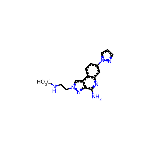 Nc1nc2cc(-n3cccn3)ccc2c2cn(CCNC(=O)O)nc12